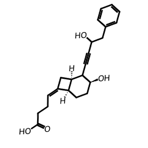 O=C(O)CC/C=C1/C[C@H]2C(C#CC(O)Cc3ccccc3)[C@@H](O)CC[C@@H]12